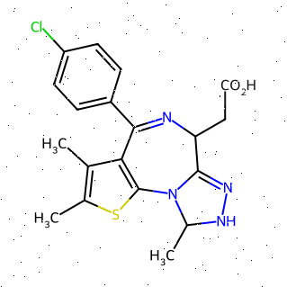 Cc1sc2c(c1C)C(c1ccc(Cl)cc1)=NC(CC(=O)O)C1=NNC(C)N12